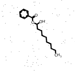 CCCCCCCCCC(O)OC(=O)c1ccccc1